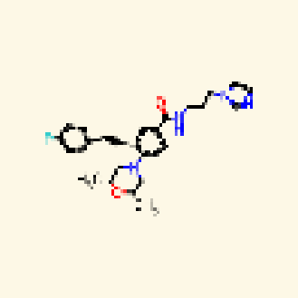 C[C@@H]1CN(c2ccc(C(=O)NCCCn3ccnc3)cc2C#Cc2ccc(F)cc2)C[C@H](C)O1